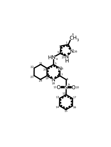 Cc1cc(Nc2nc(CS(=O)(=O)c3ccccc3)nc3c2CCCC3)[nH]n1